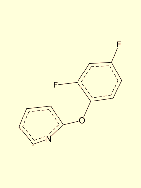 Fc1ccc(Oc2ccc[c]n2)c(F)c1